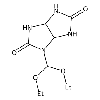 CCOC(OCC)N1C(=O)NC2NC(=O)NC21